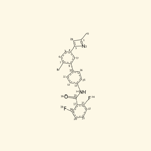 CC1=NC(c2ccc(C)c(-c3ccc(NC(=O)c4c(F)cccc4F)cc3)c2)=C1